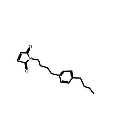 CCCCc1ccc(CCCCN2C(=O)C=CC2=O)cc1